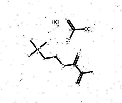 C=C(C)C(=O)OCC[N+](C)(C)C.C=C(CC)C(=O)O.Cl